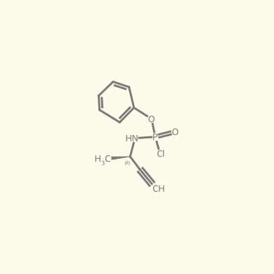 C#C[C@@H](C)NP(=O)(Cl)Oc1ccccc1